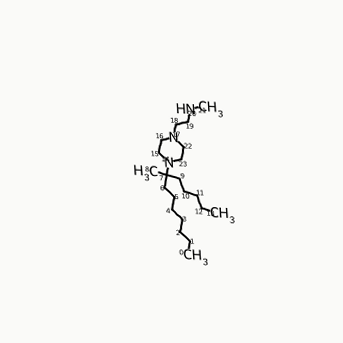 CCCCCCCC(C)(CCCCC)N1CCN(CCNC)CC1